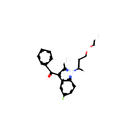 CCOCCC(C)n1c(C)c(C(=O)c2ccccc2)c2cc(F)ccc21